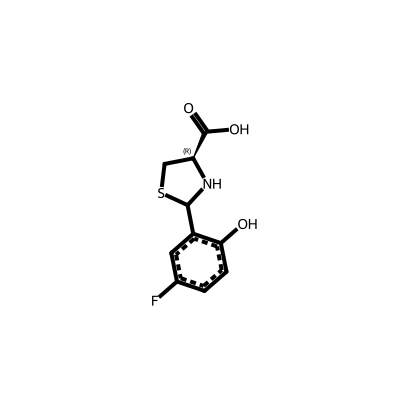 O=C(O)[C@@H]1CSC(c2cc(F)ccc2O)N1